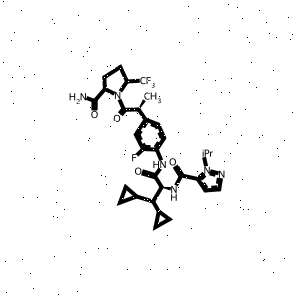 CC(C)n1nccc1C(=O)N[C@H](C(=O)Nc1ccc([C@H](C)C(=O)N2C(C(N)=O)CCC2C(F)(F)F)cc1F)C(C1CC1)C1CC1